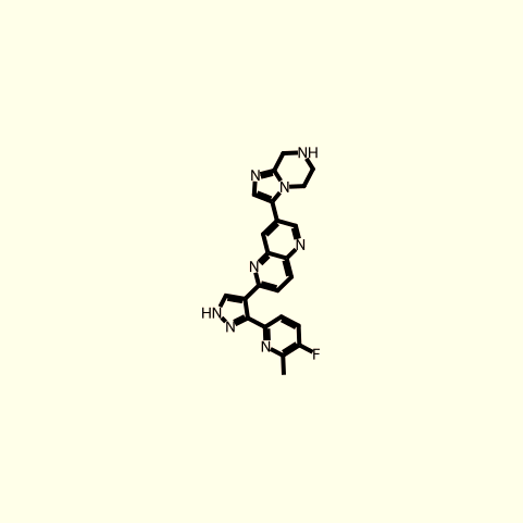 Cc1nc(-c2n[nH]cc2-c2ccc3ncc(-c4cnc5n4CCNC5)cc3n2)ccc1F